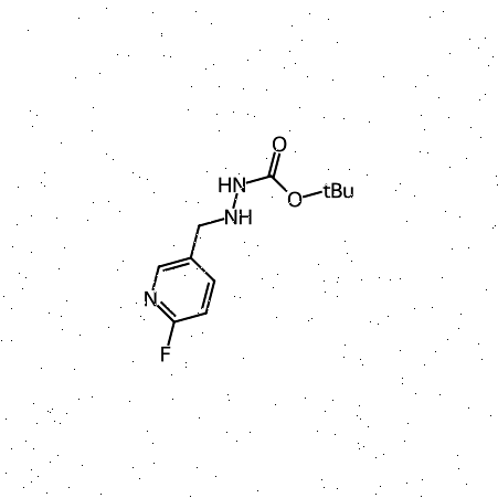 CC(C)(C)OC(=O)NNCc1ccc(F)nc1